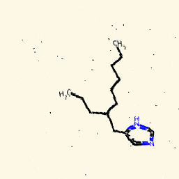 CCCCCCC(CCC)Cc1cnc[nH]1